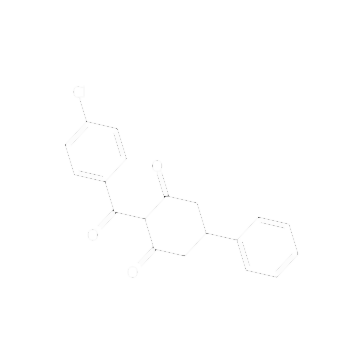 O=C1CC(c2ccccc2)CC(=O)C1C(=O)c1ccc(Cl)cc1